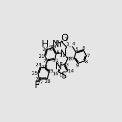 NC(=O)[C@H](Cc1ccccc1)N(Cc1cscn1)c1cccc(-c2ccc(F)cc2)c1